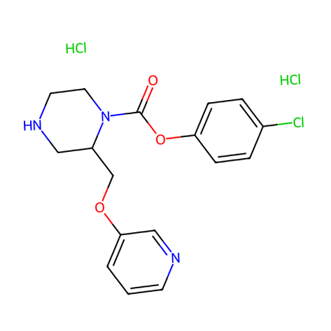 Cl.Cl.O=C(Oc1ccc(Cl)cc1)N1CCNCC1COc1cccnc1